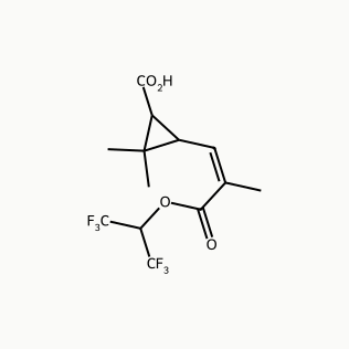 CC(=CC1C(C(=O)O)C1(C)C)C(=O)OC(C(F)(F)F)C(F)(F)F